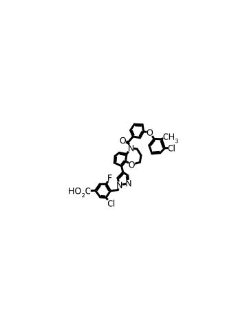 Cc1c(Cl)cccc1Oc1cccc(C(=O)N2CCCOc3c(-c4cnn(Cc5c(F)cc(C(=O)O)cc5Cl)c4)cccc32)c1